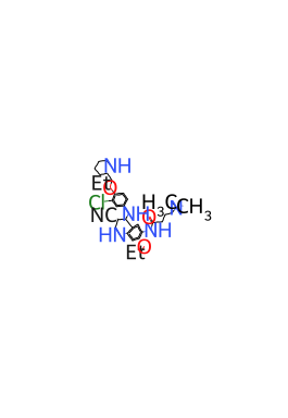 CCOc1cc2c(cc1NC(=O)CCCN(C)C)C(Nc1ccc(OCC3NCCCC3CC)c(Cl)c1)C(C#N)CN2